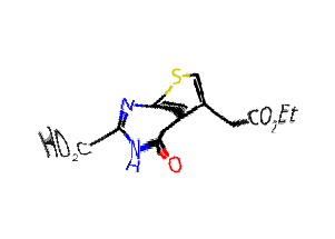 CCOC(=O)Cc1csc2nc(C(=O)O)[nH]c(=O)c12